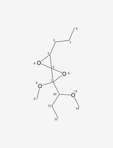 CCCC1OC12OC2(OC)C(CC)OC